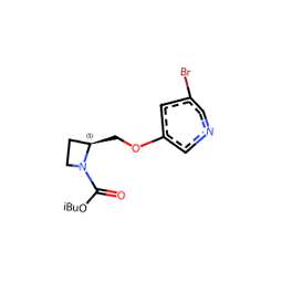 CC(C)COC(=O)N1CC[C@H]1COc1cncc(Br)c1